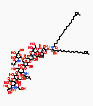 CCCCCCCCCCCCC/C=C/[C@@H](O)[C@H](CO[C@@H]1OC(CO)[C@@H](O[C@@H]2OC(CO)[C@H](O)[C@H](O[C@@H]3OC(CO)[C@@H](O[C@@H]4OC(CO[C@@H]5OC(CO)[C@@H](O)[C@H](O)C5NC(C)=O)[C@H](O)[C@H](O[C@@H]5OC(CO)[C@@H](O[C@@H]6OC(CO)[C@H](O)[C@H](O[C@]7(C(=O)O)CC(O)[C@@H](NC(=O)CO)C([C@H](O)[C@H](O)CO)O7)C6O)[C@H](O)C5NC(C)=O)C4O)[C@H](O)C3NC(C)=O)C2O)[C@H](O)C1O)NC(=O)CCCCCCCCCCCCCCCCCCC